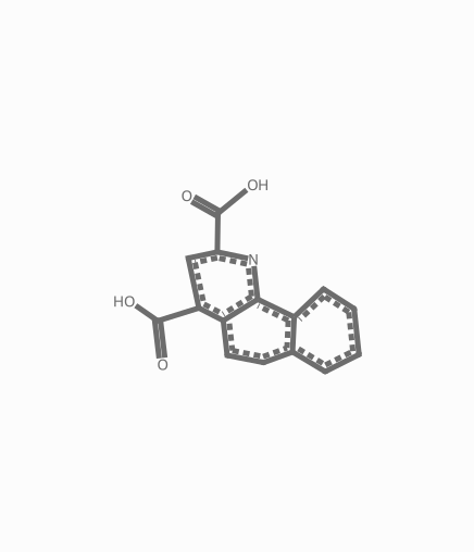 O=C(O)c1cc(C(=O)O)c2ccc3ccccc3c2n1